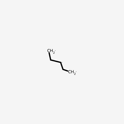 [CH2]C[CH]C[CH2]